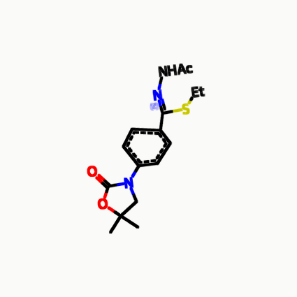 CCS/C(=N\NC(C)=O)c1ccc(N2CC(C)(C)OC2=O)cc1